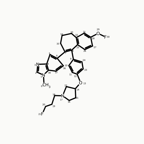 Cn1cnc2cc(C3=C(c4ccc(OC5CCN(CCCF)C5)cc4)c4ccc(OF)cc4CCC3)ccc21